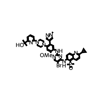 COc1cc(N2CCN(c3cccc(C(C)(C)O)n3)CC2)c(-c2cnn(C)c2)cc1Nc1ncc(Br)c(Nc2ccc3nc(C4CC4)ccc3c2P(C)(C)=O)n1